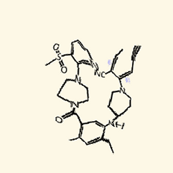 C#C/C=C(\C(C#N)=C/C)N1CCC(Nc2cc(C(=O)N3CCN(c4ncccc4S(C)(=O)=O)CC3)c(C)cc2C)CC1